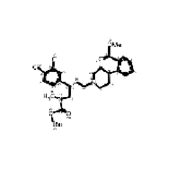 COC(=O)c1ccccc1C1CCN(CC[C@H](CN(C)C(=O)OC(C)(C)C)c2ccc(Cl)c(Cl)c2)CC1